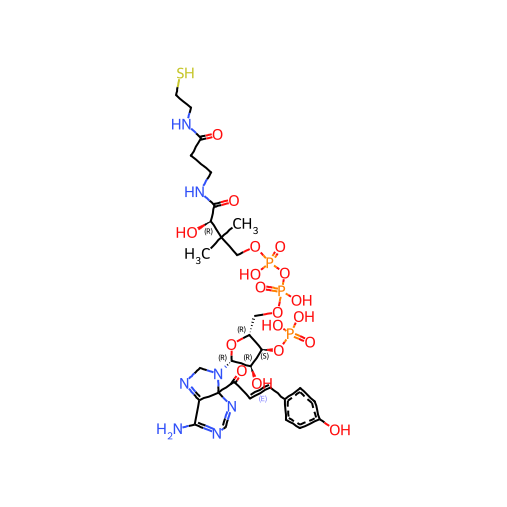 CC(C)(COP(=O)(O)OP(=O)(O)OC[C@H]1O[C@@H](N2CN=C3C(N)=NC=NC32C(=O)/C=C/c2ccc(O)cc2)[C@H](O)[C@@H]1OP(=O)(O)O)[C@@H](O)C(=O)NCCC(=O)NCCS